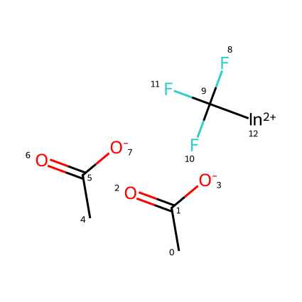 CC(=O)[O-].CC(=O)[O-].F[C](F)(F)[In+2]